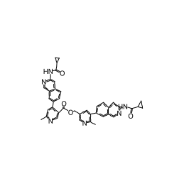 Cc1cc(-c2ccc3cc(NC(=O)C4CC4)ncc3c2)c(C(=O)OCc2cnc(C)c(-c3ccc4cc(NC(=O)C5CC5)ncc4c3)c2)cn1